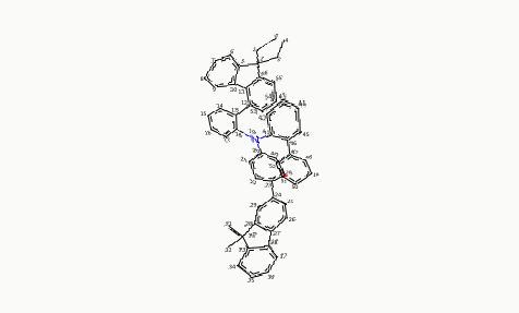 CCC1(CC)c2ccccc2-c2c(-c3ccccc3N(c3ccc(-c4ccc5c(c4)C(C)(C)c4ccccc4-5)cc3)c3ccccc3-c3ccccc3)cccc21